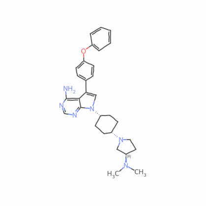 CN(C)[C@@H]1CCN([C@H]2CC[C@@H](n3cc(-c4ccc(Oc5ccccc5)cc4)c4c(N)ncnc43)CC2)C1